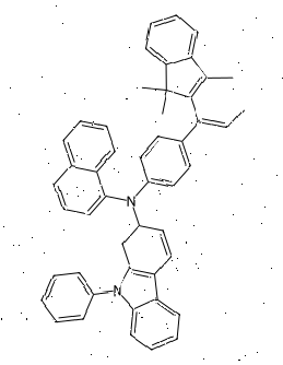 C/C=C(\C1=C(C)c2ccccc2C1(C)C)c1ccc(N(c2cccc3ccccc23)C2C=Cc3c(n(-c4ccccc4)c4ccccc34)C2)cc1